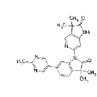 Cc1ncc(-c2ccc3c(c2)N(c2cc4c(cn2)C(C)(C)C(=O)N4)C(=O)C3(C)C)cn1